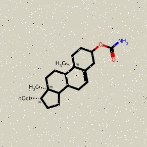 CCCCCCCC[C@H]1CCC2C3CC=C4CC(OC(N)=O)CC[C@]4(C)C3CC[C@@]21C